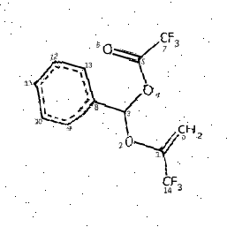 C=C(OC(OC(=O)C(F)(F)F)c1ccccc1)C(F)(F)F